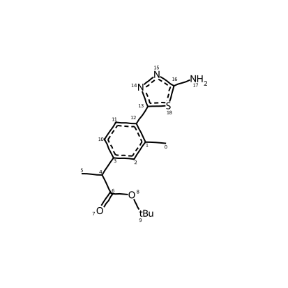 Cc1cc(C(C)C(=O)OC(C)(C)C)ccc1-c1nnc(N)s1